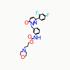 O=C(Nc1cccc(Cn2nc(-c3ccc(F)cc3F)ccc2=O)c1)OCCCN1CCOCC1